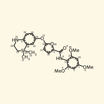 COc1cc(OC)c(NC(=O)c2ccc(Oc3ccc4c(c3)[Si](C)(C)CCN4)o2)c(OC)c1